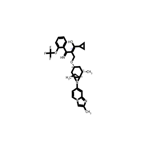 CC[C@@]12C(C[C@H](OC/C(C(=N)c3ccccc3OC(F)(F)F)=C(/O)C3CC3)C[C@@H]1C)N2c1ccn2cc(C)nc2c1